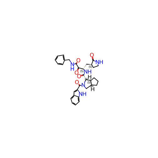 O=C(NCc1ccccc1)C(=O)[C@H](C[C@@H]1CCNC1=O)NC(=O)[C@@H]1[C@H]2CCC[C@H]2CN1C(=O)c1cc2ccccc2[nH]1